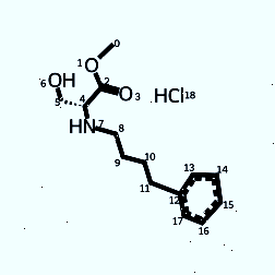 COC(=O)[C@@H](CO)NCCCCc1ccccc1.Cl